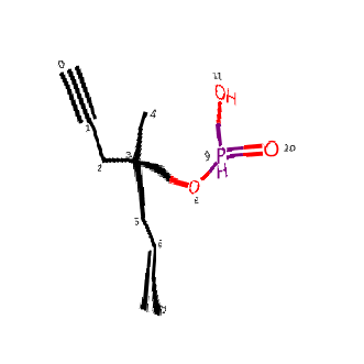 C#CCC(C)(CC=C)O[PH](=O)O